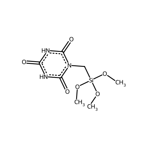 CO[Si](Cn1c(=O)[nH]c(=O)[nH]c1=O)(OC)OC